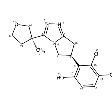 C[C@]1(c2nnc3n2C[C@H](c2c(O)ccc(Cl)c2Cl)C3)CCOC1